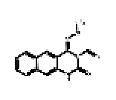 CN/N=c1/c2cc3ccccc3cc2[nH]c(=O)n1C=O